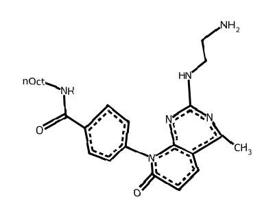 CCCCCCCCNC(=O)c1ccc(-n2c(=O)ccc3c(C)nc(NCCN)nc32)cc1